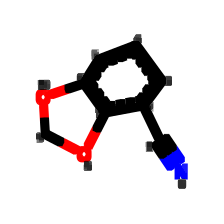 N#Cc1c[c]cc2c1OCO2